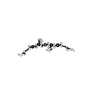 C=CC(=O)OCCCCOC(=O)c1ccc(C(=O)Oc2ccc(OC(=O)C3CCC(C(=O)Oc4ccc(OC(=O)c5ccc(C(=O)OCCCCOC(=O)C=C)cc5)cc4C(=O)OC)CC3)c(C(=O)OC)c2)cc1